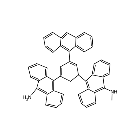 CNc1c2ccccc2c(C2C=C(c3c4ccccc4cc4ccccc34)C=C(c3c4ccccc4c(N)c4ccccc34)C2)c2ccccc12